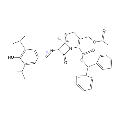 CC(=O)OCC1=C(C(=O)OC(c2ccccc2)c2ccccc2)N2C(=O)C(/N=C/c3cc(C(C)C)c(O)c(C(C)C)c3)[C@H]2SC1